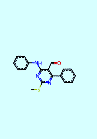 CSc1nc(Nc2ccccc2)c(C=O)c(-c2ccccc2)n1